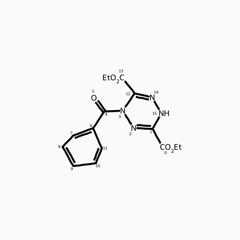 CCOC(=O)C1=NN(C(=O)c2ccccc2)C(C(=O)OCC)=NN1